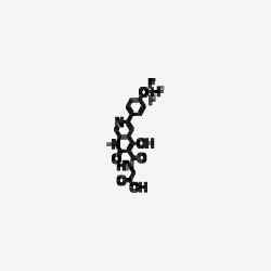 Cn1c(=O)c(C(=O)NCC(=O)O)c(O)c2cc(-c3ccc(OC(F)(F)F)cc3)ncc21